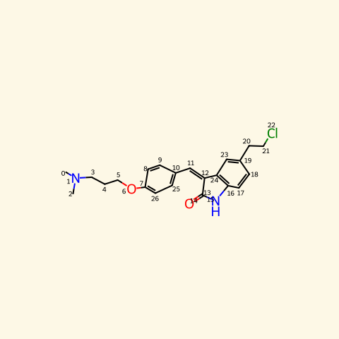 CN(C)CCCOc1ccc(C=C2C(=O)Nc3ccc(CCCl)cc32)cc1